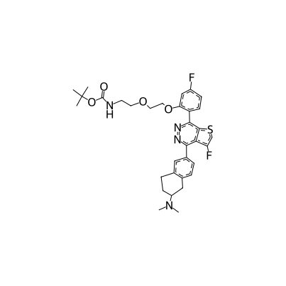 CN(C)C1CCc2cc(-c3nnc(-c4ccc(F)cc4OCCOCCNC(=O)OC(C)(C)C)c4scc(F)c34)ccc2C1